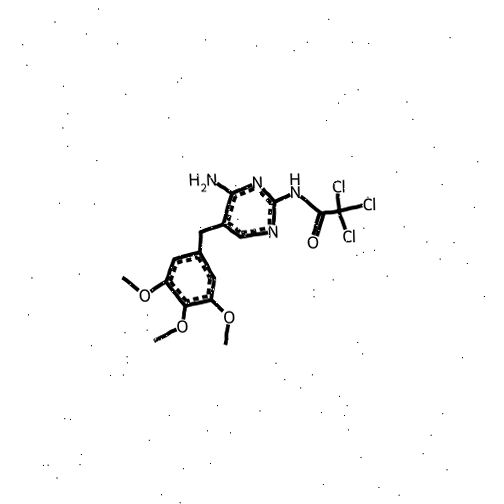 COc1cc(Cc2cnc(NC(=O)C(Cl)(Cl)Cl)nc2N)cc(OC)c1OC